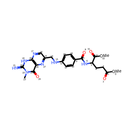 COC(=O)CCC(NC(=O)c1ccc(NCc2cnc3[nH]c(=N)n(C)c(=O)c3n2)cc1)C(=O)OC